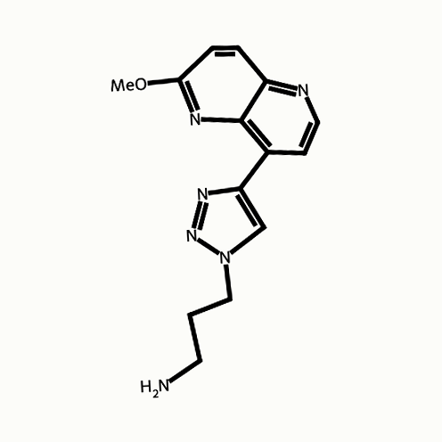 COc1ccc2nccc(-c3cn(CCCN)nn3)c2n1